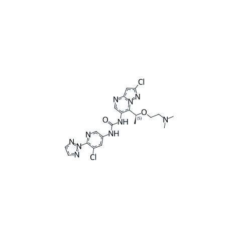 C[C@H](OCCN(C)C)c1c(NC(=O)Nc2cnc(-n3nccn3)c(Cl)c2)cnc2cc(Cl)nn12